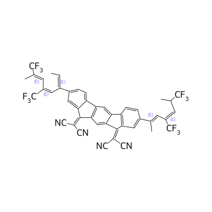 C\C=C(/C=C(\C=C(/C)C(F)(F)F)C(F)(F)F)c1ccc2c(c1)C(=C(C#N)C#N)c1cc3c(cc1-2)-c1ccc(/C(C)=C/C(=C\C(C)C(F)(F)F)C(F)(F)F)cc1C3=C(C#N)C#N